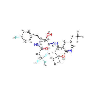 CC(C)(C)Cc1cnc2c(c1)[C@@H](NC[C@H](O)[C@H](Cc1ccc(F)cc1)NC(=O)CC(F)(F)F)CC1(CCC1)O2